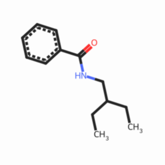 CCC(CC)CNC(=O)c1ccccc1